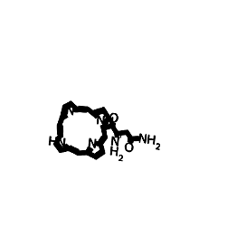 NC(=O)C[C@H](N)C(=O)C12C=C3C=CC(=N3)C=c3ccc([nH]3)=CC3=NC(=CC(=CC1)N2)C=C3